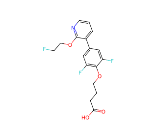 O=C(O)CCCOc1c(F)cc(-c2cccnc2OCCF)cc1F